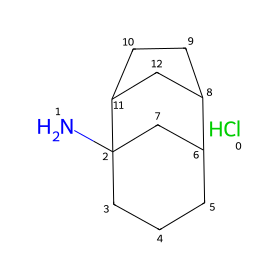 Cl.NC12CCCC(C1)C1CCC2C1